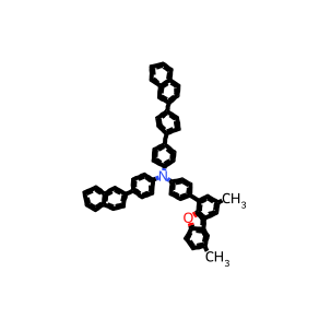 Cc1ccc2oc3c(-c4ccc(N(c5ccc(-c6ccc(-c7ccc8ccccc8c7)cc6)cc5)c5ccc(-c6ccc7ccccc7c6)cc5)cc4)cc(C)cc3c2c1